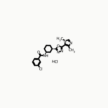 Cc1ncn(C)c1-c1nnc([C@@H]2CCC[C@H](NC(=O)c3cccc(Cl)c3)C2)o1.Cl